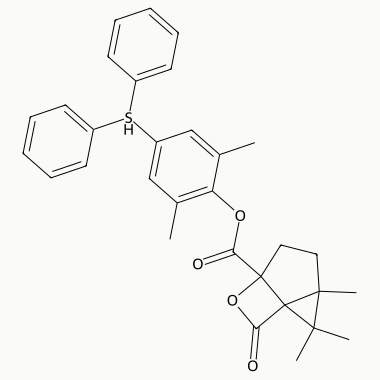 Cc1cc([SH](c2ccccc2)c2ccccc2)cc(C)c1OC(=O)C12CCC3(C)C(C)(C)C13C(=O)O2